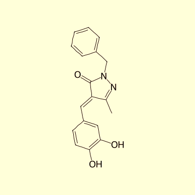 CC1=NN(Cc2ccccc2)C(=O)/C1=C/c1ccc(O)c(O)c1